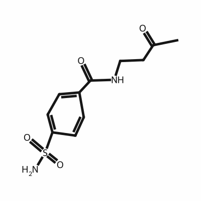 CC(=O)CCNC(=O)c1ccc(S(N)(=O)=O)cc1